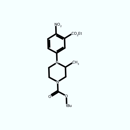 CCOC(=O)c1cc(N2CCN(C(=O)OC(C)(C)C)CC2C)ccc1[N+](=O)[O-]